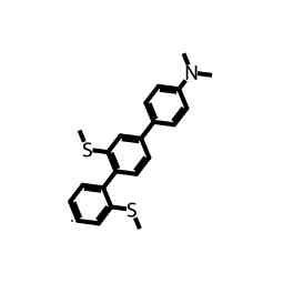 CSc1c[c]ccc1-c1ccc(-c2ccc(N(C)C)cc2)cc1SC